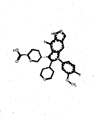 COc1cc(-n2c(C3CCOCC3)c([C@H]3CC[C@H](C(=O)O)OC3)c3c(F)c4[nH]ncc4cc32)ccc1F